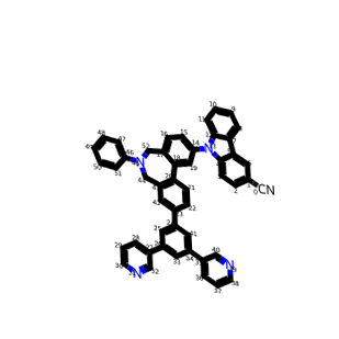 N#Cc1ccc2c(c1)c1ccccc1n2-c1ccc2c(c1)-c1ccc(-c3cc(-c4cccnc4)cc(-c4cccnc4)c3)cc1CN(c1ccccc1)C2